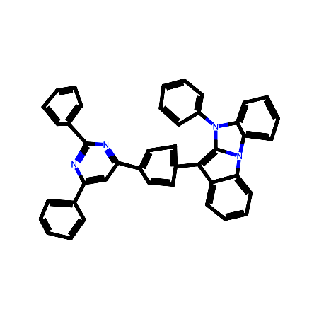 c1ccc(-c2cc(-c3ccc(-c4c5ccccc5n5c6ccccc6n(-c6ccccc6)c45)cc3)nc(-c3ccccc3)n2)cc1